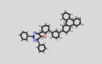 c1ccc(-c2nc(-c3ccccc3)c3oc4c(-c5cccc(-c6ccc7c8ccccc8c8ccccc8c7c6)c5)cccc4c3n2)cc1